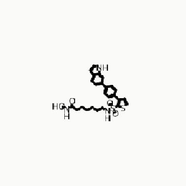 O=C(CCCCCCNS(=O)(=O)c1sccc1-c1ccc(-c2ccc3cc[nH]c3c2)cc1)NO